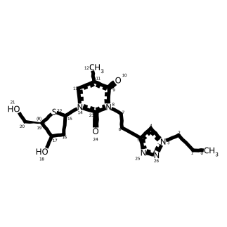 CCCn1cc(CCn2c(=O)c(C)cn(C3CC(O)[C@@H](CO)S3)c2=O)nn1